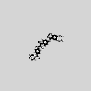 COc1cc2ncnc(Oc3cc(F)c(C(=O)C(=O)Nc4ccc(C(=O)N5CCOCC5)cc4)c(F)c3)c2cc1OC